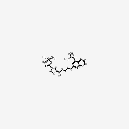 CC(C)Oc1cc(CCCC[C@@H](F)[C@@H]2CCN(C(=O)OC(C)(C)C)C2)nc2ncccc12